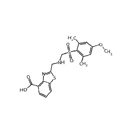 COc1cc(C)c(S(=O)(=O)CNCc2nc3c(C(=O)O)cccc3s2)c(C)c1